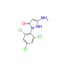 Nc1cc(=O)n(-c2c(Cl)cc(Cl)cc2Cl)[nH]1